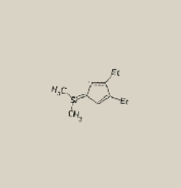 CCC1=[C]C(=[Si](C)C)C=C1CC